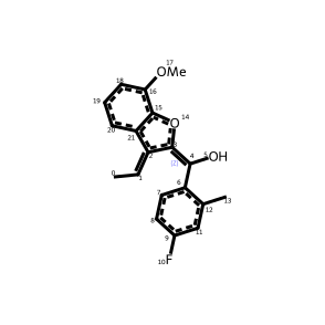 CC=c1/c(=C(/O)c2ccc(F)cc2C)oc2c(OC)cccc12